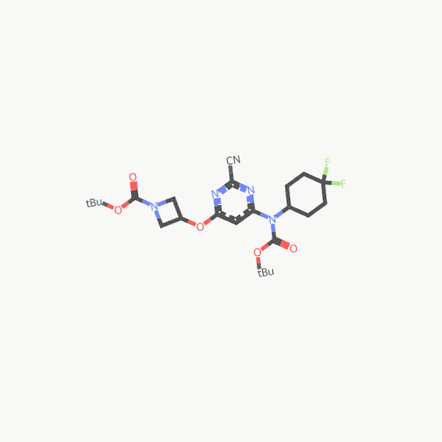 CC(C)(C)OC(=O)N1CC(Oc2cc(N(C(=O)OC(C)(C)C)C3CCC(F)(F)CC3)nc(C#N)n2)C1